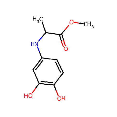 COC(=O)C(C)Nc1ccc(O)c(O)c1